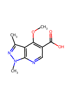 COc1c(C(=O)O)cnc2c1c(C)nn2C